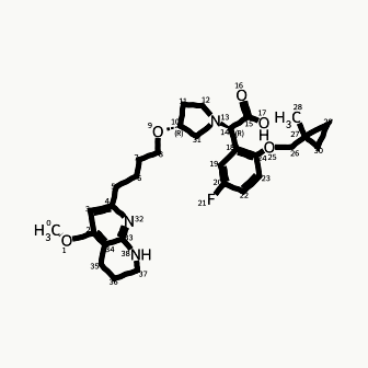 COc1cc(CCCCO[C@@H]2CCN([C@@H](C(=O)O)c3cc(F)ccc3OCC3(C)CC3)C2)nc2c1CCCN2